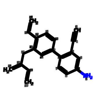 C#Cc1cc(N)ccc1-c1ccc(C=C)c(CC(=C)C=C)c1